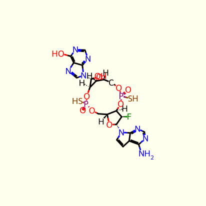 Nc1ncnc2c1ccn2[C@@H]1O[C@@H]2COP(=O)(S)O[C@@H]3[C@H](O)[C@@H](COP(=O)(S)O[C@H]2[C@H]1F)O[C@H]3n1cnc2c(O)ncnc21